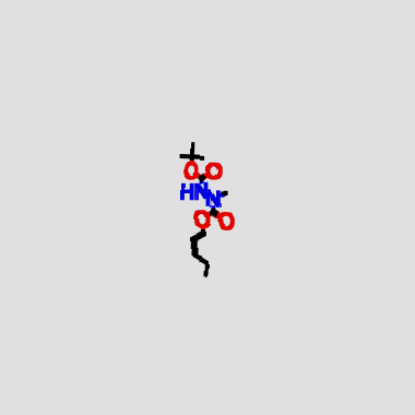 CC/C=C\COC(=O)N(C)NC(=O)OC(C)(C)C